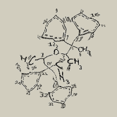 CC(OC(C)C(C)(c1ccccc1)c1ccccc1)C(C)(c1ccccc1)c1ccccc1